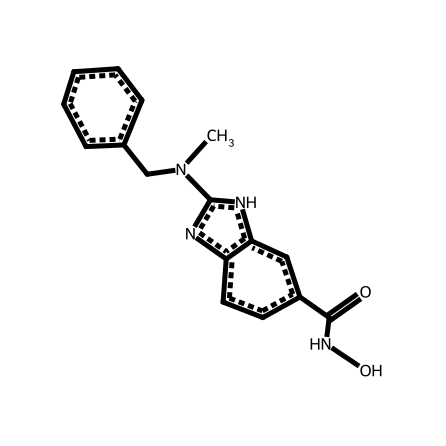 CN(Cc1ccccc1)c1nc2ccc(C(=O)NO)cc2[nH]1